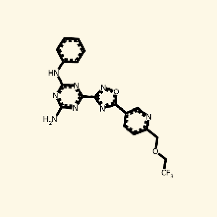 Nc1nc(Nc2ccccc2)nc(-c2noc(-c3ccc(COCC(F)(F)F)nc3)n2)n1